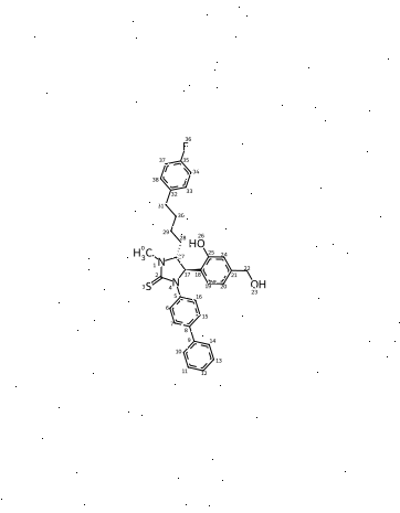 CN1C(=S)N(c2ccc(-c3ccccc3)cc2)[C@H](c2ccc(CO)cc2O)[C@H]1CCCCc1ccc(F)cc1